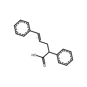 O=C(O)C(C/C=C/c1ccccc1)c1ccccc1